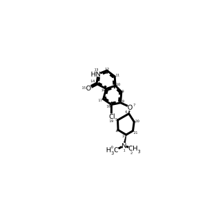 CN(C)[C@H]1CC[C@H](Oc2cc3cc[nH]c(=O)c3cc2Cl)CC1